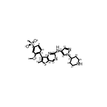 COc1cc(S(C)(=O)=O)ccc1-c1c(C)sc2cnc(Nc3cnn(C4CCNCC4)c3)nc12